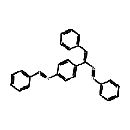 C(=C(N=Nc1ccccc1)c1ccc(N=Nc2ccccc2)cc1)c1ccccc1